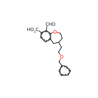 O=Cc1c(C(=O)O)ccc2c1OCCC(CCOCc1ccccc1)C2